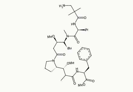 CC[C@H](C)[C@@H]([C@@H](CC(=O)N1CCC[C@H]1[C@H](OC)C(C)C(=O)N[C@@H](Cc1ccccc1)C(=O)OC)OC)N(C)C(=O)[C@@H](NC(=O)C(C)(C)CN)C(C)C